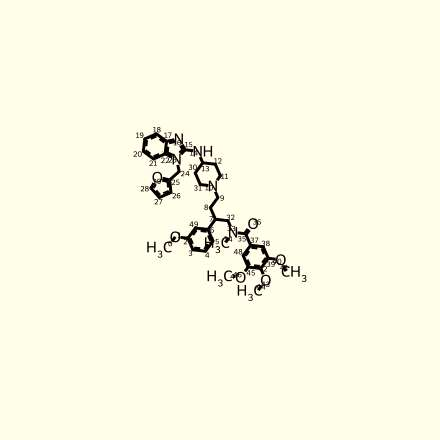 COc1cccc(C(CCN2CCC(Nc3nc4ccccc4n3Cc3ccco3)CC2)CN(C)C(=O)c2cc(OC)c(OC)c(OC)c2)c1